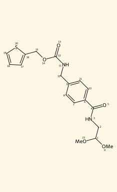 COC(CNC(=O)c1ccc(CNC(=O)OCc2cccs2)cc1)OC